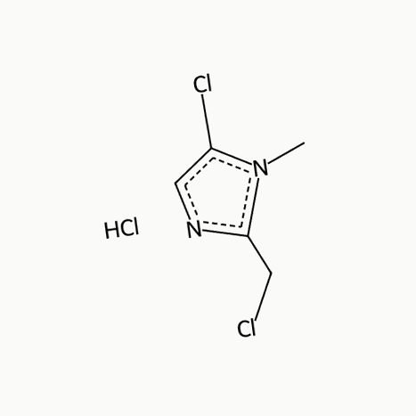 Cl.Cn1c(Cl)cnc1CCl